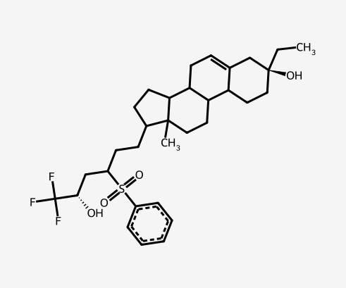 CC[C@]1(O)CCC2C(=CCC3C2CCC2(C)C(CCC(C[C@H](O)C(F)(F)F)S(=O)(=O)c4ccccc4)CCC32)C1